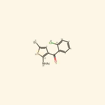 CCc1cc(C(=O)c2ccccc2Cl)c(NC(C)=O)s1